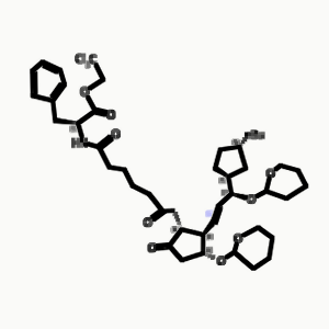 CCCC[C@H]1CC[C@H]([C@H](/C=C/[C@H]2[C@H](OC3CCCCO3)CC(=O)[C@@H]2CC(=O)CCCCC(=O)N[C@@H](Cc2ccccc2)C(=O)OCC(Cl)(Cl)Cl)OC2CCCCO2)C1